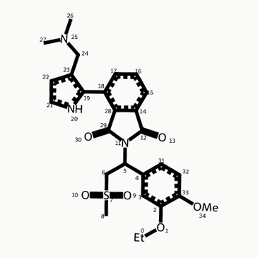 CCOc1cc(C(CS(C)(=O)=O)N2C(=O)c3cccc(-c4[nH]ccc4CN(C)C)c3C2=O)ccc1OC